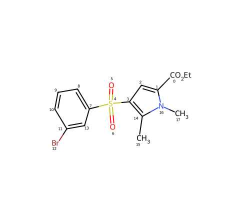 CCOC(=O)c1cc(S(=O)(=O)c2cccc(Br)c2)c(C)n1C